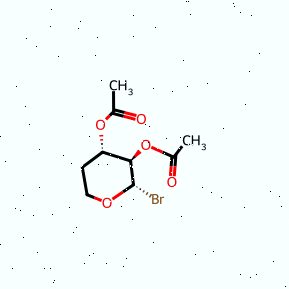 CC(=O)O[C@H]1[C@H](Br)OCC[C@@H]1OC(C)=O